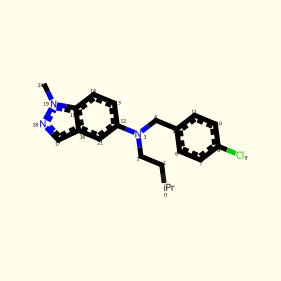 CC(C)CCN(Cc1ccc(Cl)cc1)c1ccc2c(cnn2C)c1